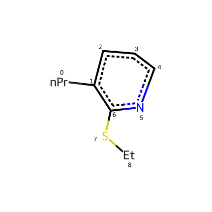 CCCc1cccnc1SCC